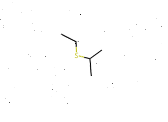 C[CH]SC(C)C